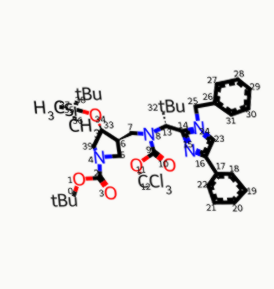 CC(C)(C)OC(=O)N1C[C@H](CN(C(=O)OC(Cl)(Cl)Cl)[C@@H](c2nc(-c3ccccc3)cn2Cc2ccccc2)C(C)(C)C)[C@@H](O[Si](C)(C)C(C)(C)C)C1